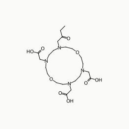 CCC(=O)CN1CCOCCN(CC(=O)O)CCN(CC(=O)O)CCOCCN(CC(=O)O)CC1